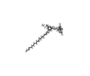 CCCCCCCCCCCCCCCCCCOc1cc(N)cc(OCCCP(=O)(OCC)OCC)c1